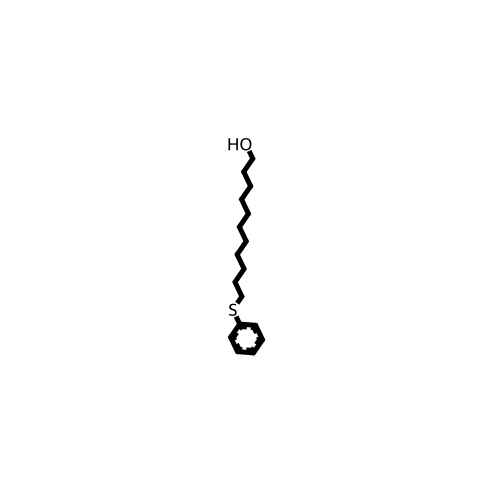 OCCCCCCCCCCCSc1ccccc1